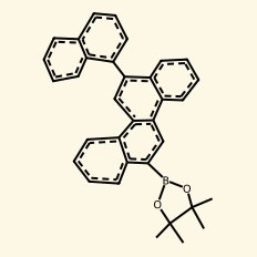 CC1(C)OB(c2cc3c4ccccc4c(-c4cccc5ccccc45)cc3c3ccccc23)OC1(C)C